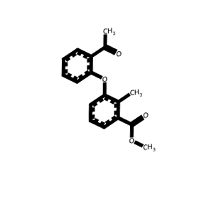 COC(=O)c1cccc(Oc2ccccc2C(C)=O)c1C